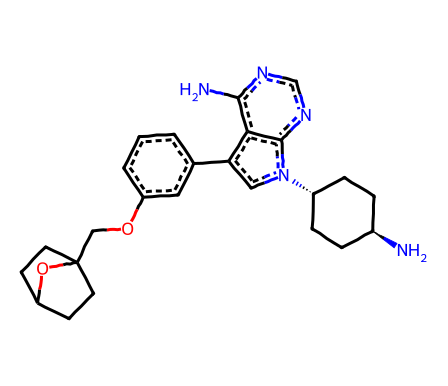 Nc1ncnc2c1c(-c1cccc(OCC34CCC(CC3)O4)c1)cn2[C@H]1CC[C@H](N)CC1